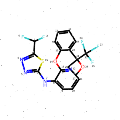 FC(F)c1nnc(Nc2cccnc2Oc2ccccc2C2(C(F)(F)F)CCO2)s1